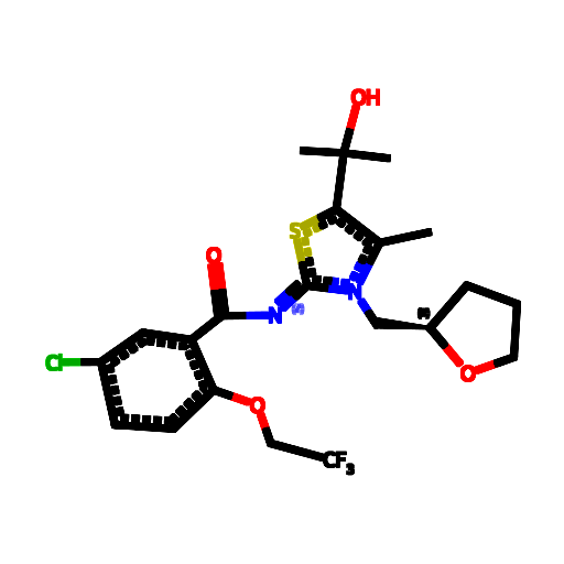 Cc1c(C(C)(C)O)s/c(=N\C(=O)c2cc(Cl)ccc2OCC(F)(F)F)n1C[C@H]1CCCO1